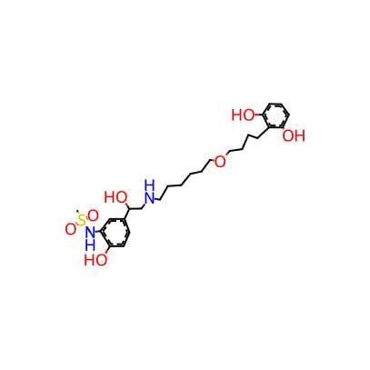 CS(=O)(=O)Nc1cc(C(O)CNCCCCCCOCCCCc2c(O)cccc2O)ccc1O